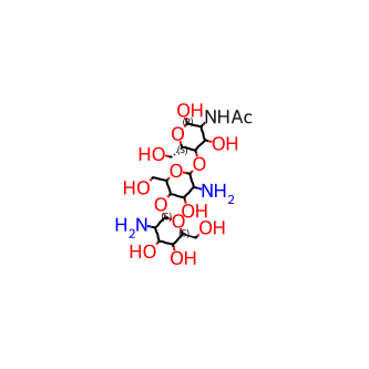 CC(=O)NC1C(O)C(OC2OC(CO)C(O[C@@H]3O[C@@H](CO)C(O)C(O)C3N)C(O)C2N)[C@H](CO)O[C@H]1O